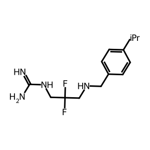 CC(C)c1ccc(CNCC(F)(F)CNC(=N)N)cc1